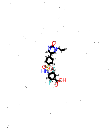 C=CCn1cc(-c2ccc(S(=O)(=O)Nc3cc(F)c(C(=O)O)cc3F)cc2)cnc1=O